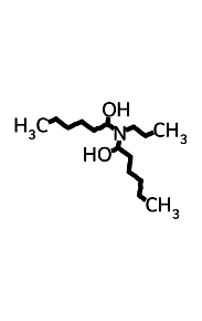 CCCCCC(O)N(CCC)C(O)CCCCC